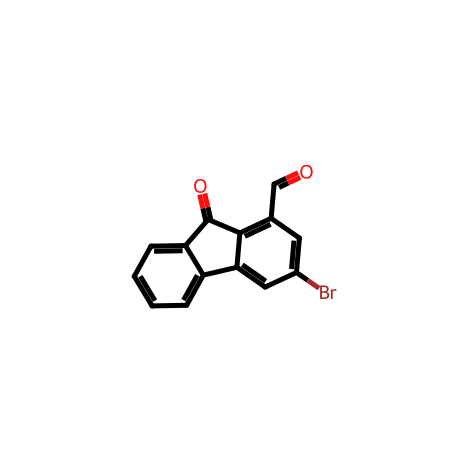 O=Cc1cc(Br)cc2c1C(=O)c1ccccc1-2